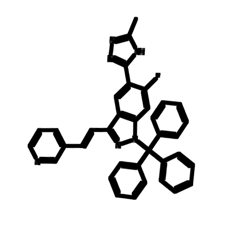 Cc1nnc(-c2cc3c(C=Cc4cccnc4)nn(C(c4ccccc4)(c4ccccc4)c4ccccc4)c3cc2F)[nH]1